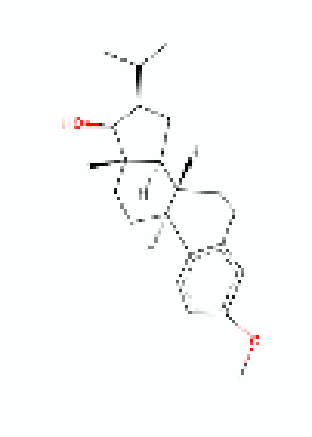 COc1ccc2c(c1)CC[C@@H]1[C@@H]2CC[C@]2(C)[C@@H](O)[C@@H](C(C)C)C[C@@H]12